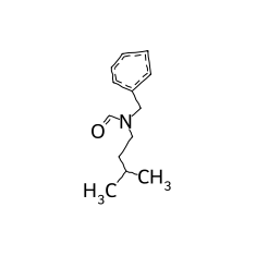 CC(C)CCN(C=O)Cc1ccccc1